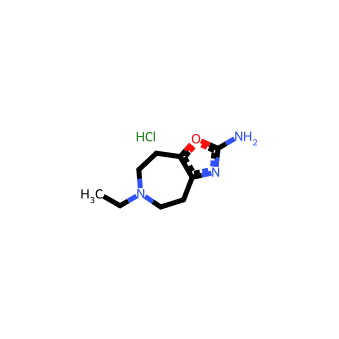 CCN1CCc2nc(N)oc2CC1.Cl